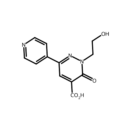 O=C(O)c1cc(-c2ccncc2)nn(CCO)c1=O